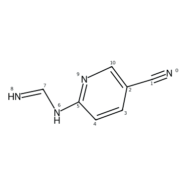 N#Cc1ccc(NC=N)nc1